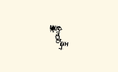 CC(C)(C)c1c[nH]c(-c2cc3cc(OCc4ccccc4Cc4nnn[nH]4)ccc3o2)c1